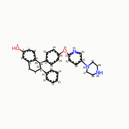 Oc1ccc2c(c1)CC[C@H](c1ccccc1)[C@@H]2c1ccc(Oc2ccc(N3CCNCC3)cn2)cc1